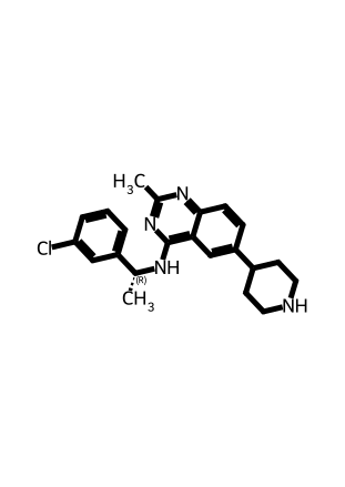 Cc1nc(N[C@H](C)c2cccc(Cl)c2)c2cc(C3CCNCC3)ccc2n1